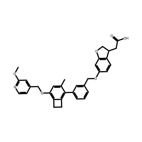 COc1cc(COc2cc(C)c(-c3cccc(COc4ccc5c(c4)OCC5CC(=O)O)c3)c3c2CC3)ccn1